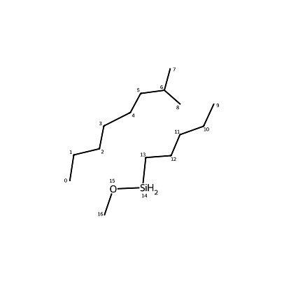 CCCCCCC(C)C.CCCCC[SiH2]OC